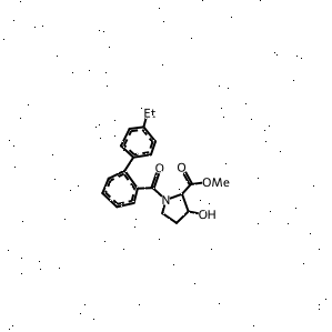 CCc1ccc(-c2ccccc2C(=O)N2CCC(O)C2C(=O)OC)cc1